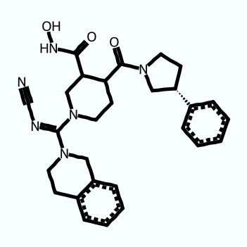 N#CN=C(N1CCc2ccccc2C1)N1CCC(C(=O)N2CC[C@H](c3ccccc3)C2)C(C(=O)NO)C1